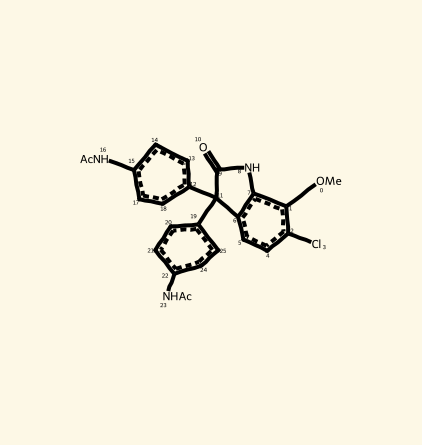 COc1c(Cl)ccc2c1NC(=O)C2(c1ccc(NC(C)=O)cc1)c1ccc(NC(C)=O)cc1